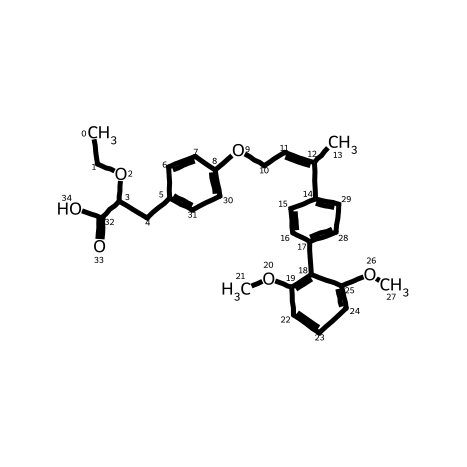 CCOC(Cc1ccc(OC/C=C(/C)c2ccc(-c3c(OC)cccc3OC)cc2)cc1)C(=O)O